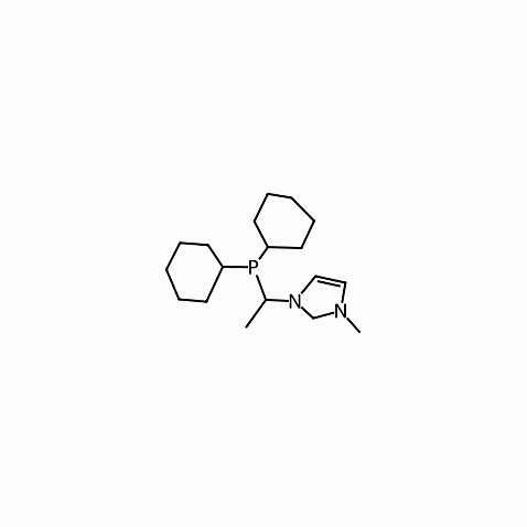 CC(N1C=CN(C)C1)P(C1CCCCC1)C1CCCCC1